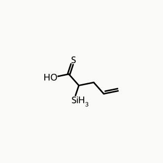 C=CCC([SiH3])C(O)=S